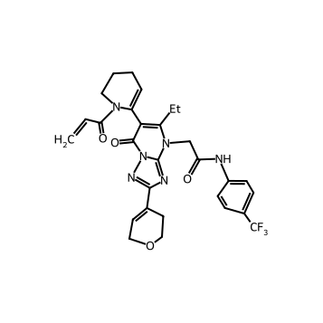 C=CC(=O)N1CCCC=C1c1c(CC)n(CC(=O)Nc2ccc(C(F)(F)F)cc2)c2nc(C3=CCOCC3)nn2c1=O